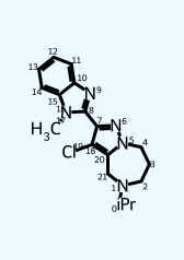 CC(C)N1CCCn2nc(-c3nc4ccccc4n3C)c(Cl)c2C1